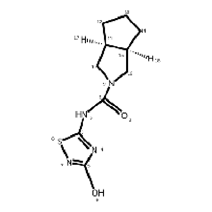 O=C(Nc1nc(O)ns1)N1C[C@H]2CCC[C@H]2C1